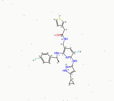 C[C@H](Nc1nc(Nc2cc(C3CC3)[nH]n2)c(F)cc1CNC(=O)Cc1ccsc1)c1ccc(F)cc1